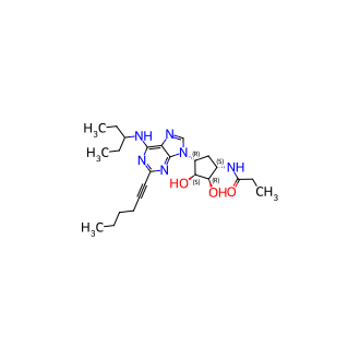 CCCCC#Cc1nc(NC(CC)CC)c2ncn([C@@H]3C[C@H](NC(=O)CC)[C@@H](O)[C@H]3O)c2n1